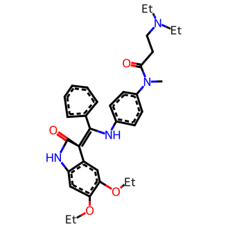 CCOc1cc2c(cc1OCC)C(=C(Nc1ccc(N(C)C(=O)CCN(CC)CC)cc1)c1ccccc1)C(=O)N2